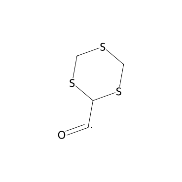 O=[C]C1SCSCS1